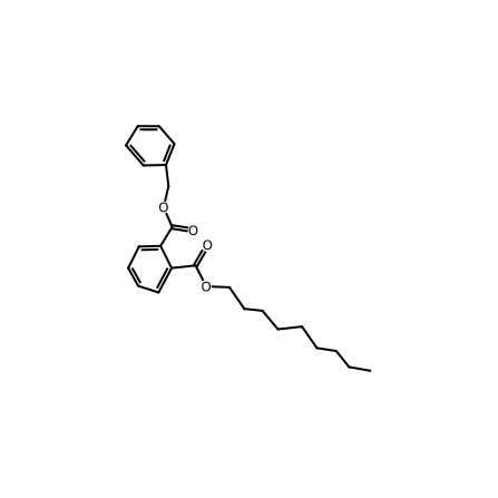 CCCCCCCCCOC(=O)c1ccccc1C(=O)OCc1ccccc1